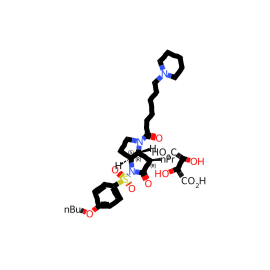 CCCCOc1ccc(S(=O)(=O)N2C(=O)[C@H](CCC)[C@@H]3[C@@H]2CCN3C(=O)CCCCCN2CCCCC2)cc1.O=C(O)C(O)C(O)C(=O)O